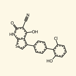 N#Cc1c(O)c2c(-c3ccc(-c4c(O)cccc4Cl)cc3)csc2[nH]c1=O